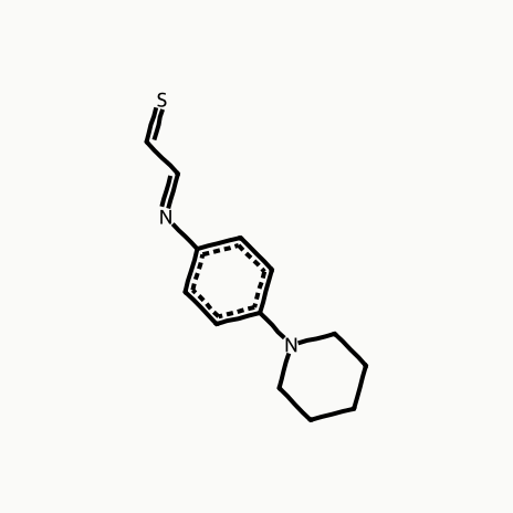 S=CC=Nc1ccc(N2CCCCC2)cc1